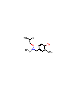 CCCCC(CC)CON(Cc1ccc(O)c(OC)c1)C(=O)O